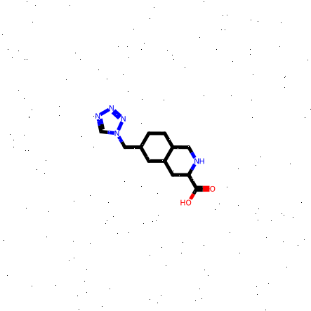 O=C(O)C1CC2CC(Cn3cnnn3)CCC2CN1